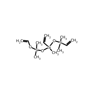 C=CO[Si](C)(C)O[Si](C)(C=C)O[Si](C)(C)C=C